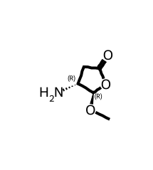 CO[C@@H]1OC(=O)C[C@H]1N